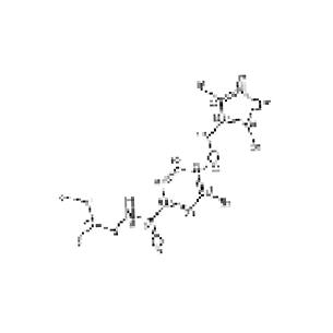 CCC(C)CNC(=O)c1ccc(OCc2c(C)noc2C)c(C)c1